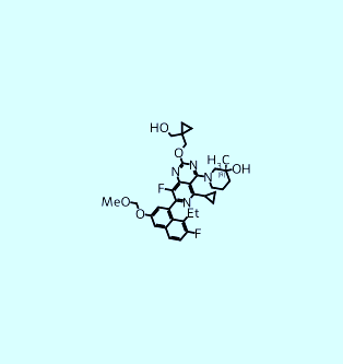 CCc1c(F)ccc2cc(OCOC)cc(-c3nc(C4CC4)c4c(N5CCC[C@@](C)(O)C5)nc(OCC5(CO)CC5)nc4c3F)c12